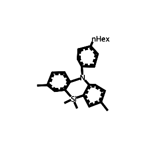 CCCCCCc1ccc(N2c3ccc(C)cc3[Si](C)(C)c3cc(C)ccc32)cc1